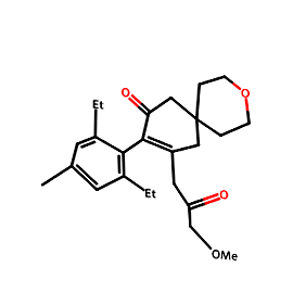 CCc1cc(C)cc(CC)c1C1=C(CC(=O)COC)CC2(CCOCC2)CC1=O